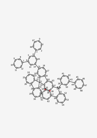 c1ccc(-c2cc(-c3ccccc3)cc(-c3ccc4c(c3)C3(c5ccccc5-c5ccccc53)c3ccc(N(c5cccc(-c6ccccc6)c5)c5ccccc5-c5ccccc5)cc3-4)c2)cc1